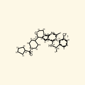 Cc1nc(N[C@H](C)c2cccc(C(F)(F)F)c2)c2cc3n(c2n1)CCOC3C1CCN(C(=O)C2CCCC2)CC1